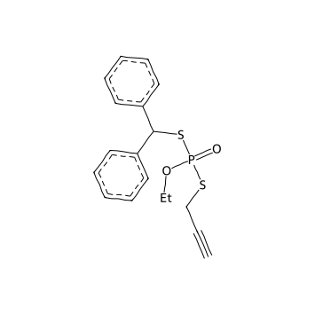 C#CCSP(=O)(OCC)SC(c1ccccc1)c1ccccc1